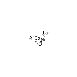 [Co].[La].[O]=[Ni].[Sr]